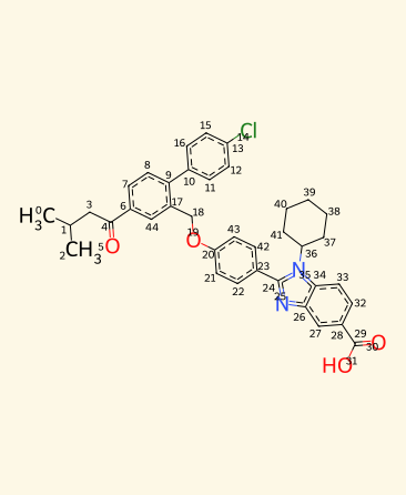 CC(C)CC(=O)c1ccc(-c2ccc(Cl)cc2)c(COc2ccc(-c3nc4cc(C(=O)O)ccc4n3C3CCCCC3)cc2)c1